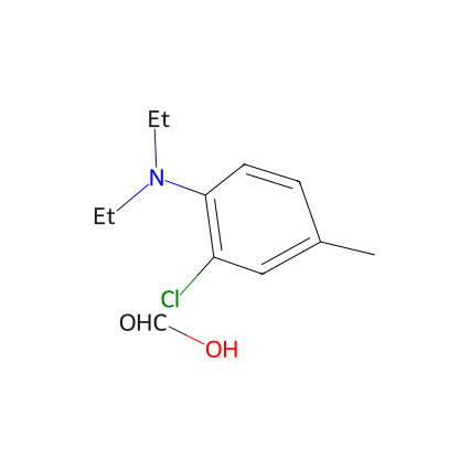 CCN(CC)c1ccc(C)cc1Cl.O=CO